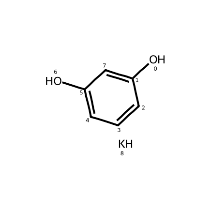 Oc1cccc(O)c1.[KH]